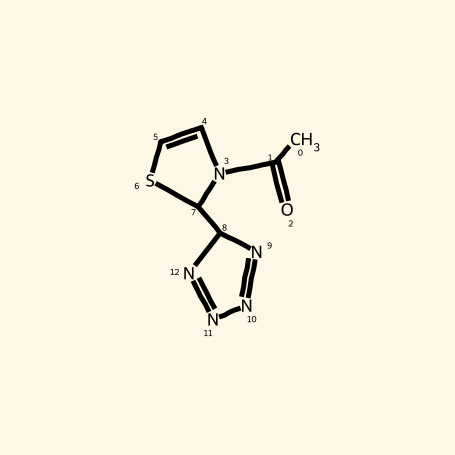 CC(=O)N1C=CSC1C1N=NN=N1